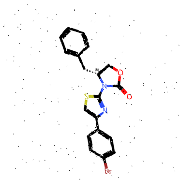 O=C1OC[C@@H](Cc2ccccc2)N1c1nc(-c2ccc(Br)cc2)cs1